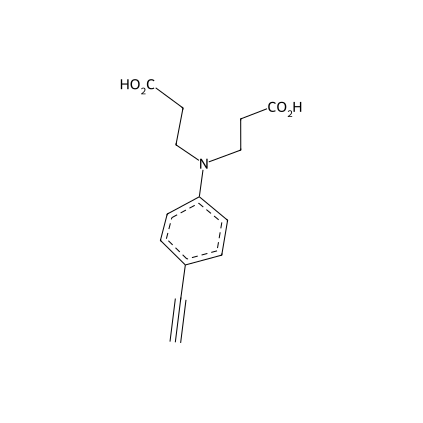 C#Cc1ccc(N(CCC(=O)O)CCC(=O)O)cc1